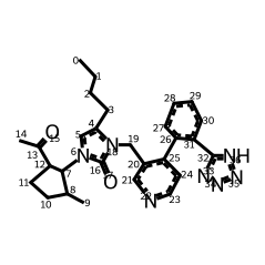 CCCCc1cn(C2C(C)CCC2C(C)=O)c(=O)n1Cc1cnccc1-c1ccccc1-c1nnn[nH]1